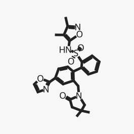 Cc1noc(NS(=O)(=O)c2ccccc2-c2ccc(-c3ncco3)cc2CN2CC(C)(C)CC2=O)c1C